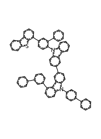 c1ccc(-c2ccc(-n3c4ccc(-c5ccc6c(c5)c5ccccc5n6-c5ccc(-c6cccc7c6sc6ccccc67)cc5-c5ccccc5)cc4c4c(-c5cccc(-c6ccccc6)c5)cccc43)cc2)cc1